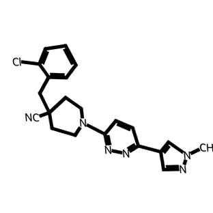 Cn1cc(-c2ccc(N3CCC(C#N)(Cc4ccccc4Cl)CC3)nn2)cn1